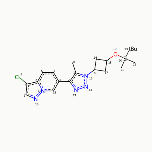 Cc1c(-c2ccc3c(Cl)cnn3c2)nnn1C1CC(O[Si](C)(C)C(C)(C)C)C1